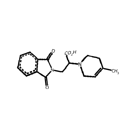 CC1=CCN(C(CN2C(=O)c3ccccc3C2=O)C(=O)O)CC1